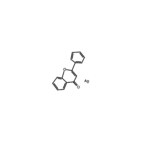 O=c1cc(-c2ccccc2)oc2ccccc12.[Ag]